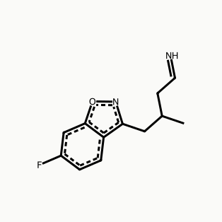 CC(CC=N)Cc1noc2cc(F)ccc12